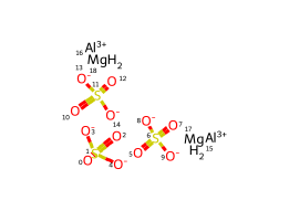 O=S(=O)([O-])[O-].O=S(=O)([O-])[O-].O=S(=O)([O-])[O-].[Al+3].[Al+3].[MgH2].[MgH2]